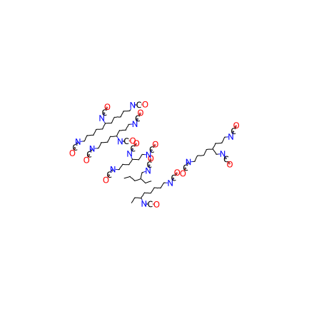 CCC(CCCCCN=C=O)N=C=O.CCCC(CC)CN=C=O.O=C=NCCCC(CCN=C=O)N=C=O.O=C=NCCCCC(CCCN=C=O)CN=C=O.O=C=NCCCCC(CCCN=C=O)N=C=O.O=C=NCCCCCC(CCCCCN=C=O)N=C=O